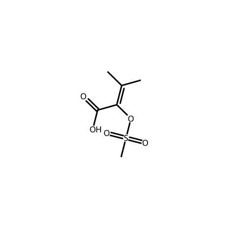 CC(C)=C(OS(C)(=O)=O)C(=O)O